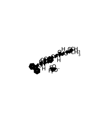 C[N+](C)(C)CCOCCC(=O)NCCOc1ccc(C[C@H](NC(=O)OCC2c3ccccc3-c3ccccc32)C(=O)O)cc1.O=C([O-])C(F)(F)F